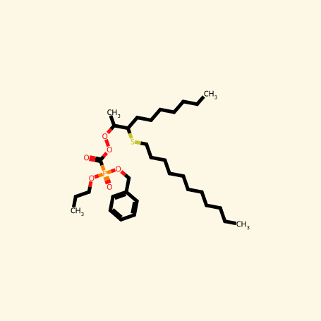 CCCCCCCCCCCSC(CCCCCCC)C(C)OOC(=O)P(=O)(OCCC)OCc1ccccc1